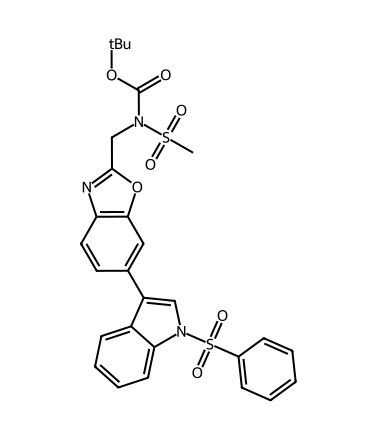 CC(C)(C)OC(=O)N(Cc1nc2ccc(-c3cn(S(=O)(=O)c4ccccc4)c4ccccc34)cc2o1)S(C)(=O)=O